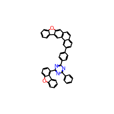 c1ccc(-c2nc(-c3ccc(-c4ccc5ccc6cc7oc8ccccc8c7cc6c5c4)cc3)nc(-c3cccc4oc5ccccc5c34)n2)cc1